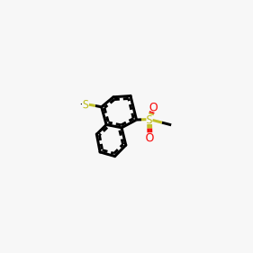 CS(=O)(=O)c1ccc([S])c2ccccc12